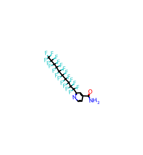 NC(=O)c1ccnc(C(F)(F)C(F)(F)C(F)(F)C(F)(F)C(F)(F)C(F)(F)C(F)(F)C(F)(F)C(F)(F)C(F)(F)F)c1